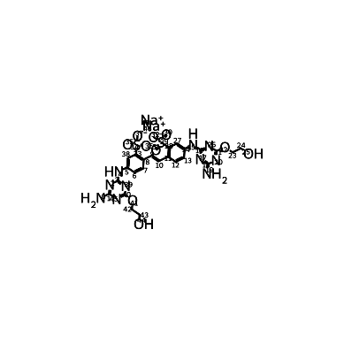 Nc1nc(Nc2ccc(C=Cc3ccc(Nc4nc(N)nc(OCCO)n4)cc3S(=O)(=O)[O-])c(S(=O)(=O)[O-])c2)nc(OCCO)n1.[Na+].[Na+]